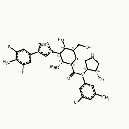 CO[C@@H]1[C@@H](n2cc(-c3cc(F)c(C)c(F)c3)nn2)[C@@H](O)[C@@H](CO)O[C@H]1C(=O)N(c1cc(C)cc(Br)c1)[C@H]1CNC[C@@H]1O